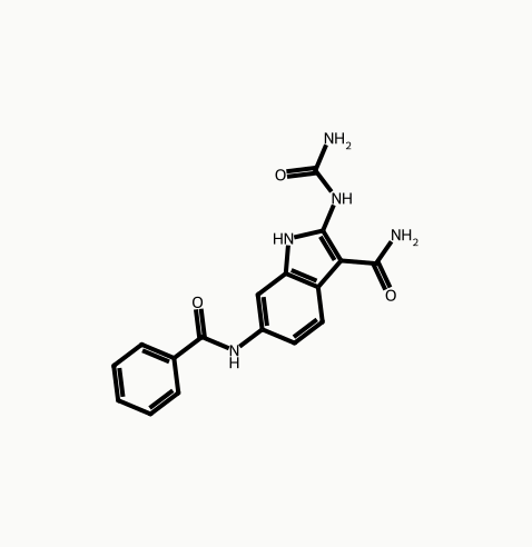 NC(=O)Nc1[nH]c2cc(NC(=O)c3ccccc3)ccc2c1C(N)=O